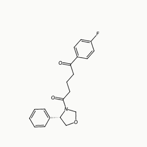 O=C(CCCC(=O)N1COC[C@@H]1c1ccccc1)c1ccc(F)cc1